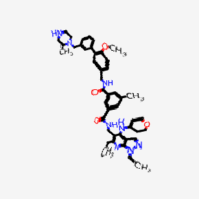 CCc1nc2c(cnn2CC)c(NC2CCOCC2)c1CNC(=O)c1cc(C)cc(C(=O)NCc2ccc(OC)c(-c3cccc(CN4CCNC[C@@H]4C)c3)c2)c1